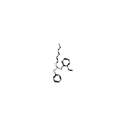 CCCCCCOP(Oc1ccccc1)Oc1ccccc1CC